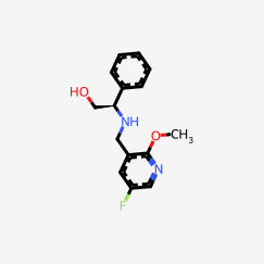 COc1ncc(F)cc1CN[C@@H](CO)c1ccccc1